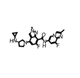 Cc1cn2cc(NC(=O)c3c(F)cc(N4CC[C@@H](NC5CC5)C4)c4cn(C)nc34)cc(F)c2n1